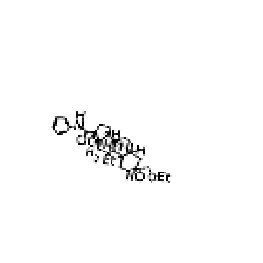 CCOC[C@@]1(O)CCC2(CC)[C@H](CC[C@@H]3[C@@H]2CC[C@]2(C)[C@@H](C(=O)Nc4ccccc4)CC[C@@H]32)C1